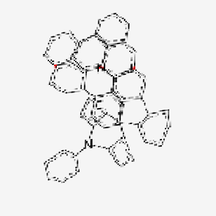 c1ccc(-c2ccccc2N(c2ccc3c(c2)C2(c4ccccc4-3)c3ccccc3N(c3ccccc3)c3ccccc32)c2ccccc2-c2ccccc2-c2cccc3ccccc23)cc1